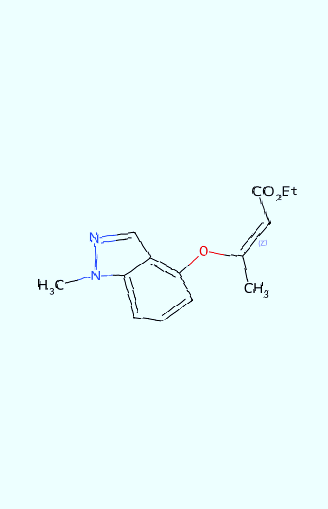 CCOC(=O)/C=C(/C)Oc1cccc2c1cnn2C